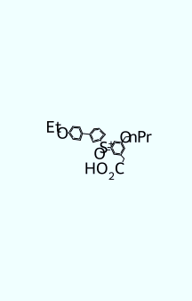 CCCOc1cc(CC(=O)O)cc([S+]([O-])c2cccc(-c3ccc(OCC)cc3)c2)c1